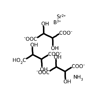 N.O=C([O-])C(O)C(O)C(=O)O.O=C([O-])C(O)C(O)C(=O)[O-].O=C([O-])C(O)C(O)C(=O)[O-].[B+3].[Sr+2]